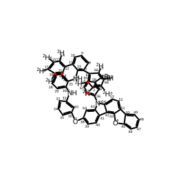 [2H]c1c([2H])c([2H])c(-c2cccc(-c3c([2H])c([2H])c([2H])c([2H])c3[2H])c2Nc2ccccc2Nc2cccc(Oc3ccc4c5c6oc7ccccc7c6ccc5n(-c5cc(C(C)(C)C)ccn5)c4c3)c2)c([2H])c1[2H]